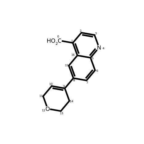 O=C(O)c1ccnc2ccc(C3=CCOCC3)cc12